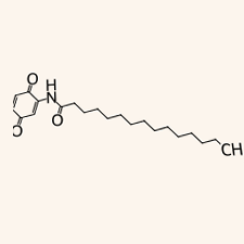 CCCCCCCCCCCCCCC(=O)NC1=CC(=O)C=CC1=O